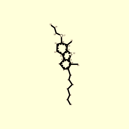 CCCCCCCc1ccc2c(sc3c(C)c(OCCC)ccc32)c1C